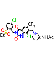 CCS(=O)(=O)c1ccc(Cl)cc1Cn1c(=O)[nH]c2c(Cl)c(CN3CCC[C@H](NC(C)=O)C3)c(C(F)(F)F)cc2c1=O